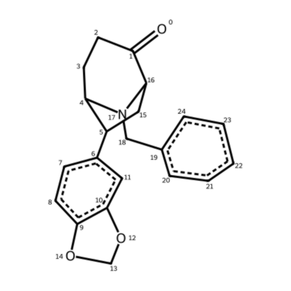 O=C1CCC2C(c3ccc4c(c3)OCO4)CC1N2Cc1ccccc1